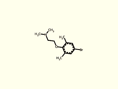 Cc1cc(Br)cc(C)c1OCCN(C)C